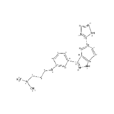 CN(C)CCCOc1cccc(-c2n[nH]c3ccc(-c4ncn[nH]4)cc23)c1